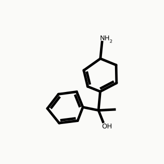 CC(O)(C1=CCC(N)C=C1)c1ccccc1